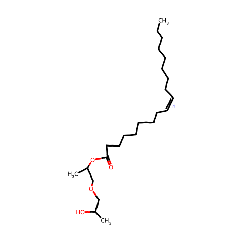 CCCCCCCC/C=C\CCCCCCCC(=O)OC(C)COCC(C)O